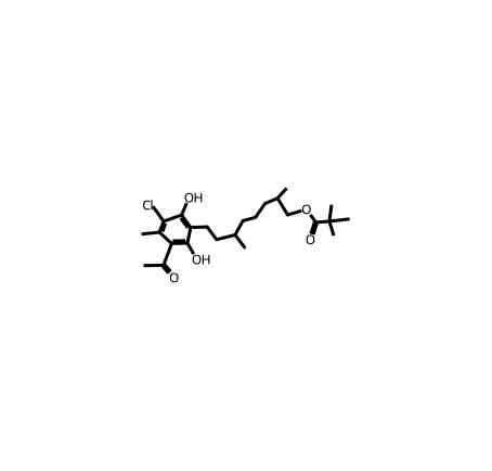 CC(=O)c1c(C)c(Cl)c(O)c(CCC(C)CCCC(C)COC(=O)C(C)(C)C)c1O